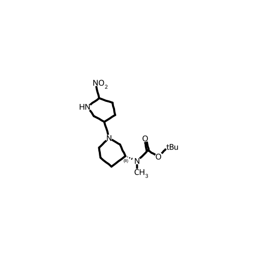 CN(C(=O)OC(C)(C)C)[C@@H]1CCCN(C2CCC([N+](=O)[O-])NC2)C1